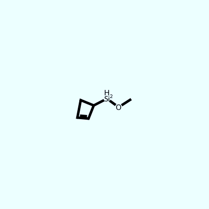 CO[SiH2]C1C=CC1